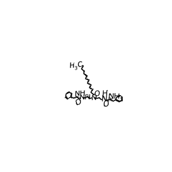 CCCCCCCCCCCCCC(=O)N(CCCNC(=O)[C@@H](N)Cc1ccccc1)CCCNC(=O)[C@@H](N)Cc1ccccc1